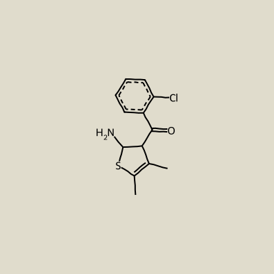 CC1=C(C)C(C(=O)c2ccccc2Cl)C(N)S1